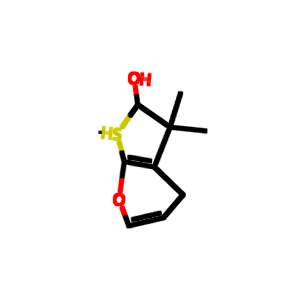 CC1(C)C2=C(OC=CC2)[SH]C1O